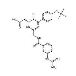 CC(C)(C)Oc1ccc(NC(=O)[C@H](CC(=O)O)NC(=O)CNC(=O)c2cccc(NC(=N)N)c2)cc1